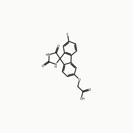 O=C(O)COc1ccc2c(c1)-c1ccc(F)cc1C21NC(=O)NC1=O